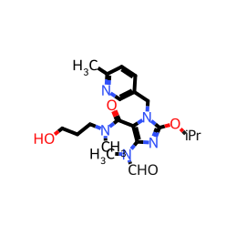 Cc1ccc(Cn2c(OC(C)C)nc(N(C)C=O)c2C(=O)N(C)CCCO)cn1